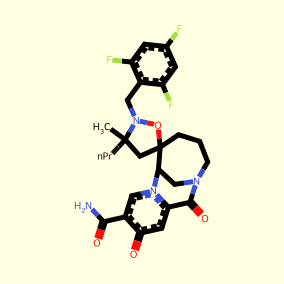 CCCC1(C)CC2(CCCN3CC2n2cc(C(N)=O)c(=O)cc2C3=O)ON1Cc1c(F)cc(F)cc1F